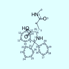 CNC(=O)CC[C@H](NC(c1ccccc1)(c1ccccc1)c1ccccc1)C(=O)O